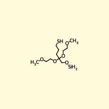 COCCOC(CCCS)(CO[SiH3])OCCOC